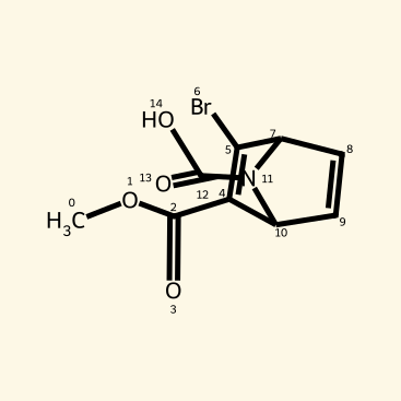 COC(=O)C1=C(Br)C2C=CC1N2C(=O)O